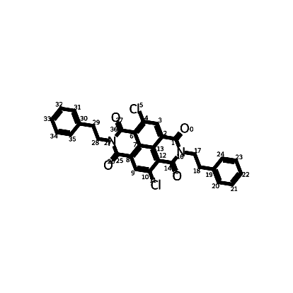 O=C1c2cc(Cl)c3c4c(cc(Cl)c(c24)C(=O)N1CCc1ccccc1)C(=O)N(CCc1ccccc1)C3=O